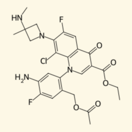 CCOC(=O)c1cn(-c2cc(N)c(F)cc2COC(C)=O)c2c(Cl)c(N3CC(C)(NC)C3)c(F)cc2c1=O